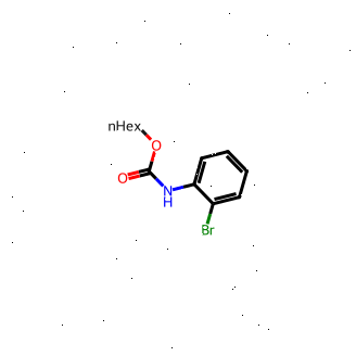 [CH2]CCCCCOC(=O)Nc1ccccc1Br